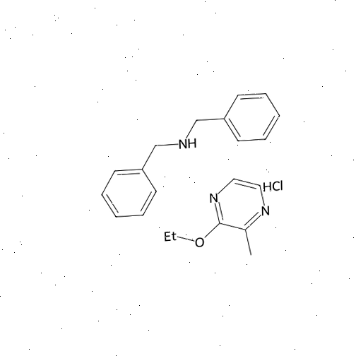 CCOc1nccnc1C.Cl.c1ccc(CNCc2ccccc2)cc1